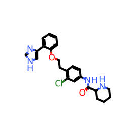 O=C(Nc1ccc(CCOc2ccccc2-c2c[nH]cn2)c(Cl)c1)C1CCCCN1